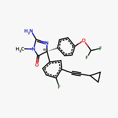 CN1C(=O)[C@](c2ccc(OC(F)F)cc2)(c2ccc(F)c(C#CC3CC3)c2)N=C1N